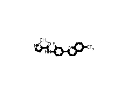 Cn1nccc1C(=O)Nc1ccc(-c2ccc3cc(C(F)(F)F)ccc3n2)cc1F